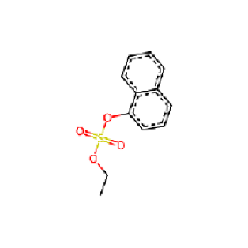 CCOS(=O)(=O)Oc1cccc2ccccc12